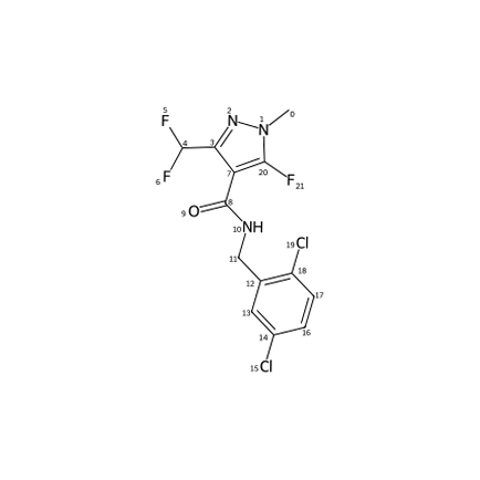 Cn1nc(C(F)F)c(C(=O)NCc2cc(Cl)ccc2Cl)c1F